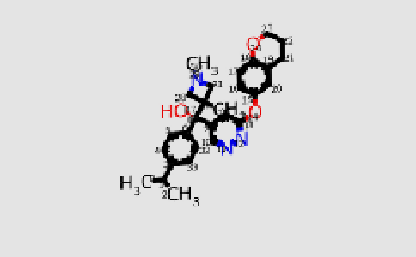 CC(C)c1ccc([C@](O)(c2cnnc(Oc3ccc4c(c3)CCCO4)c2)C2(C)CN(C)C2)cc1